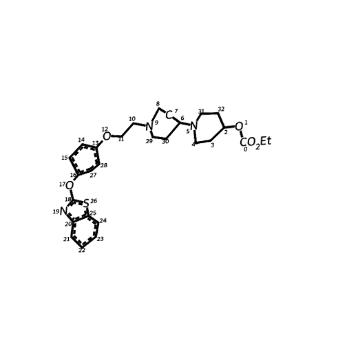 CCOC(=O)OC1CCN(C2CCN(CCOc3ccc(Oc4nc5ccccc5s4)cc3)CC2)CC1